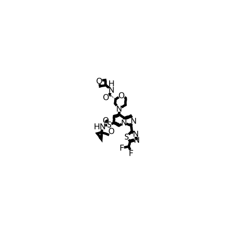 CC1(NS(=O)(=O)c2cc(N3CCO[C@@H](C(=O)NC4COC4)C3)c3cnc(-c4nnc(C(F)F)s4)n3c2)CC1